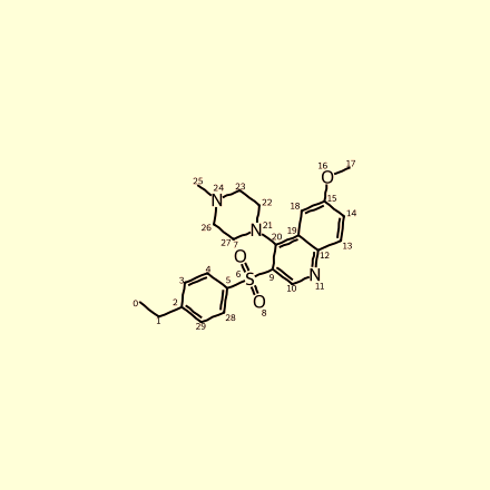 CCc1ccc(S(=O)(=O)c2cnc3ccc(OC)cc3c2N2CCN(C)CC2)cc1